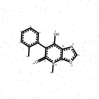 Cc1ccccc1-c1c(O)c2ncoc2n(C)c1=O